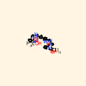 CN(C(=O)O)[C@@H](C(=O)N1CCC[C@H]1c1ncc(-c2ccc(-c3ccc(-c4cnc([C@@H]5CCCN5C(=O)[C@@H](c5ccccc5)N5CCC(C)(O)CC5)[nH]4)cc3)cc2)[nH]1)c1ccccc1